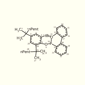 CCCCCC(C)(C)c1cc(C(C)(C)C)c(OP2Oc3ccccc3-c3ccccc32)c(C(C)(C)CCCCC)c1